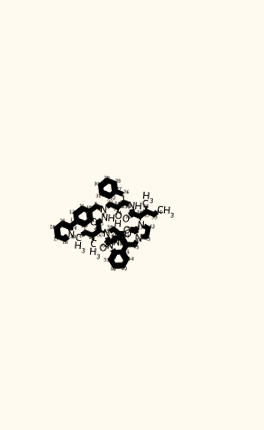 CC[C@H](C)[C@@H](C(=O)NN(Cc1ccc(-c2ccccn2)cc1)C[C@@H](O)[C@H](Cc1ccccc1)NC(=O)[C@H]([C@@H](C)CC)N1CCN(Cc2ccnc3ccccc23)C1=O)N1CC(=O)NC1=O